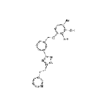 CCCc1c(OCc2cccc(-c3nnn(CCc4cccnc4)n3)c2)ccc(C(C)=O)c1O